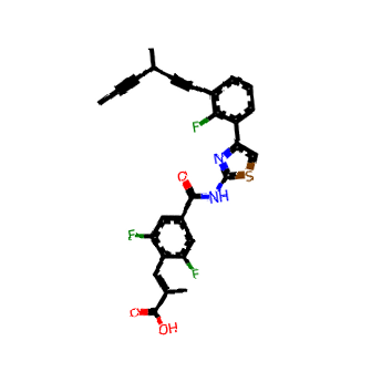 CC#CC(C)C#Cc1cccc(-c2csc(NC(=O)c3cc(F)c(C=C(C)C(=O)O)c(F)c3)n2)c1F